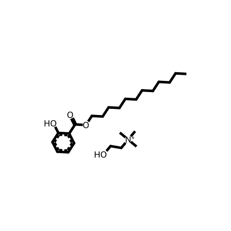 CCCCCCCCCCCCOC(=O)c1ccccc1O.C[N+](C)(C)CCO